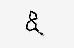 [N-]=[N+]=C1CCCC2(CCCC2)C1